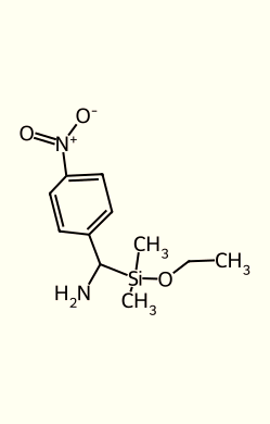 CCO[Si](C)(C)C(N)c1ccc([N+](=O)[O-])cc1